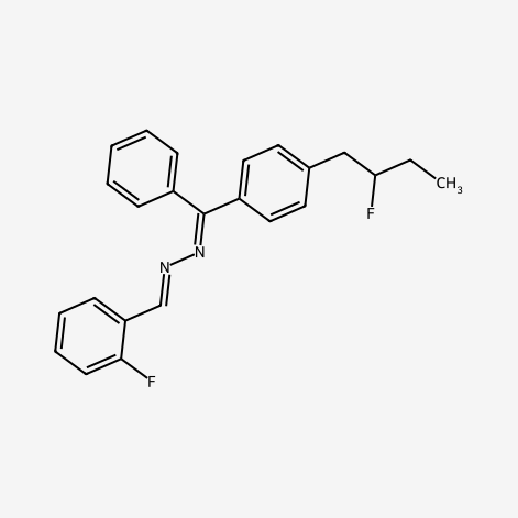 CCC(F)Cc1ccc(C(=NN=Cc2ccccc2F)c2ccccc2)cc1